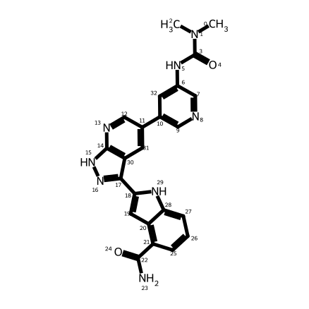 CN(C)C(=O)Nc1cncc(-c2cnc3[nH]nc(-c4cc5c(C(N)=O)cccc5[nH]4)c3c2)c1